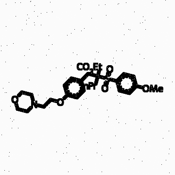 CCCC(Cc1ccc(OCCN2CCOCC2)cc1)(C(=O)OCC)S(=O)(=O)c1ccc(OC)cc1